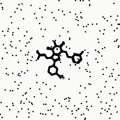 CC(C)=CCn1c(N2CCCC(N)C2)nc2c1c(=O)n(C)c(=O)n2CCc1cccc(C)c1